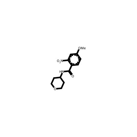 COc1ccc(C(=O)NC2CCOCC2)c([N+](=O)[O-])c1